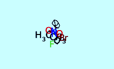 CC1(C)C(=O)N(C2C3CC4CC(C3)CC2C4)N1C(=O)c1cc(F)ccc1Br